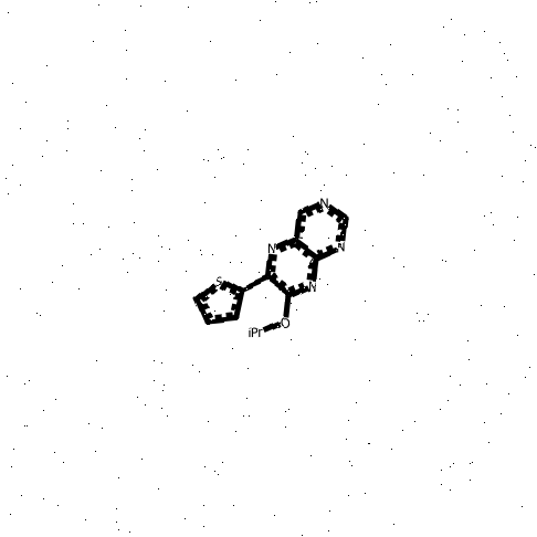 CC(C)Oc1nc2ncncc2nc1-c1cccs1